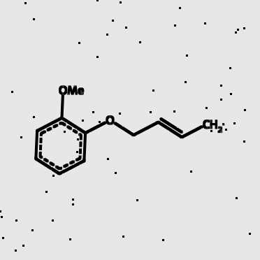 [CH2]/C=C/COc1ccccc1OC